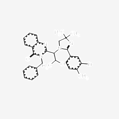 Cc1ccc(C2=NC(C)(C)CN2C(c2nc3ccccc3c(=O)n2Cc2ccccc2)C(C)C)cc1Br